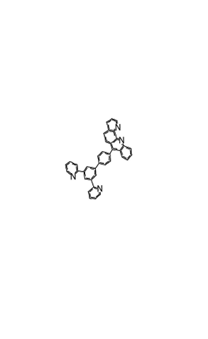 c1ccc(-c2cc(-c3ccc(-c4c5ccccc5nc5c4ccc4cccnc45)cc3)cc(-c3ccccn3)c2)nc1